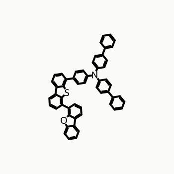 c1ccc(-c2ccc(N(c3ccc(-c4ccccc4)cc3)c3ccc(-c4cccc5c4sc4c(-c6cccc7c6oc6ccccc67)cccc45)cc3)cc2)cc1